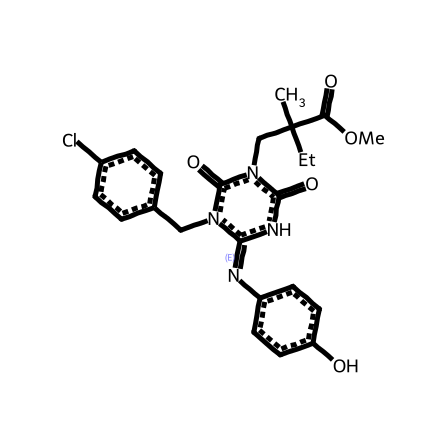 CCC(C)(Cn1c(=O)[nH]/c(=N\c2ccc(O)cc2)n(Cc2ccc(Cl)cc2)c1=O)C(=O)OC